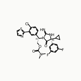 CN(C)C(=O)OC[C@H](c1ccc(Cl)c(-c2nccs2)c1)N1C(=N)N[C@@](c2cc(F)cc(F)c2)(C2CC2)C1=O